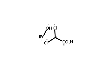 CC(C)O.O=C(O)C(Cl)Cl